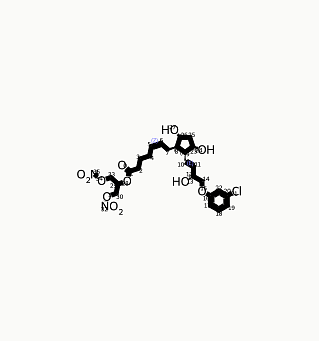 O=C(CCC/C=C\C[C@@H]1[C@@H](/C=C/[C@@H](O)COc2cccc(Cl)c2)[C@H](O)C[C@@H]1O)OC(CO[N+](=O)[O-])CO[N+](=O)[O-]